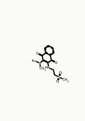 CC(=O)N(C)C1=C(NCCS(C)(=O)=O)C(=O)c2ccccc2C1=O